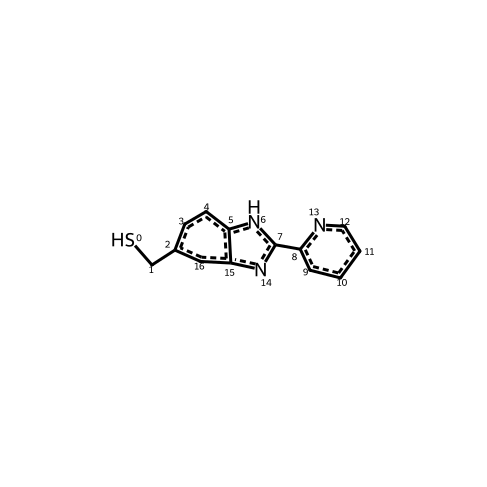 SCc1ccc2[nH]c(-c3ccccn3)nc2c1